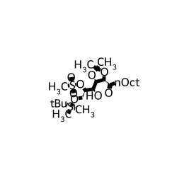 CCCCCCCCC(=O)[C@H]1OC(C)(C)O[C@H]1[C@H](O)[C@H](CO[Si](C)(C)C(C)(C)C)OS(C)(=O)=O